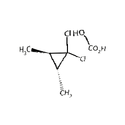 C[C@@H]1[C@@H](C)C1(Cl)Cl.O=C(O)O